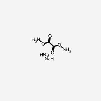 NOC(=O)C(=O)ON.[NaH].[NaH]